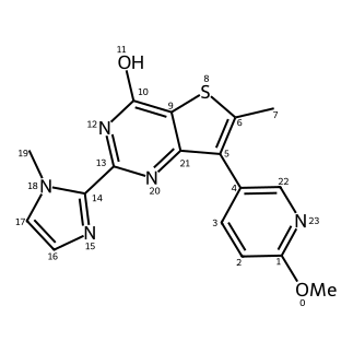 COc1ccc(-c2c(C)sc3c(O)nc(-c4nccn4C)nc23)cn1